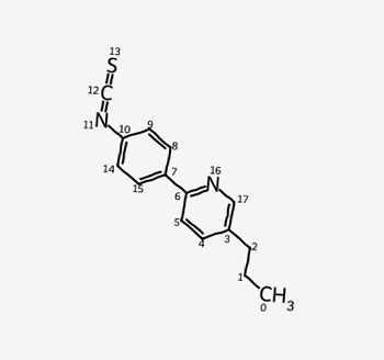 CCCc1ccc(-c2ccc(N=C=S)cc2)nc1